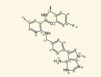 C[C@H](NC(=O)c1cc(I)cnc1NCc1ccc(-c2cn(C)c3c2C(N)NC=N3)cc1)c1ccc(F)cc1